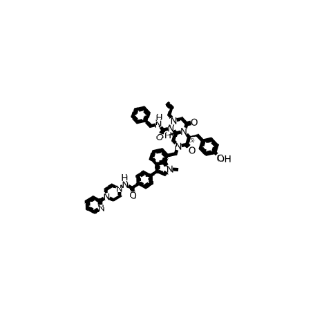 C=CCN1CC(=O)N2[C@@H](Cc3ccc(O)cc3)C(=O)N(Cc3cccc4c(-c5ccc(C(=O)NN6CCN(c7ccccn7)CC6)cc5)cn(C)c34)C[C@@H]2N1C(=O)NCc1ccccc1